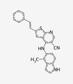 Cc1c(Nc2c(C#N)cnc3sc(C=Cc4ccccc4)cc23)ccc2[nH]ccc12